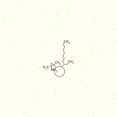 CCCCCCCCC(CC)C1CCCCCCCC(C2(C)CC2(C)N)C1